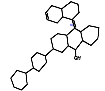 OC1C2CCCCC2/C(=C2\CCCC3CC=CCC23)C2CCC(C3CCC(C4CCCCC4)CC3)CC21